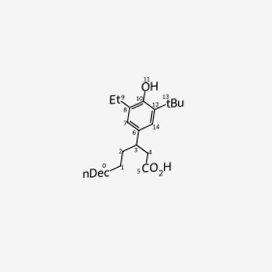 CCCCCCCCCCCCC(CC(=O)O)c1cc(CC)c(O)c(C(C)(C)C)c1